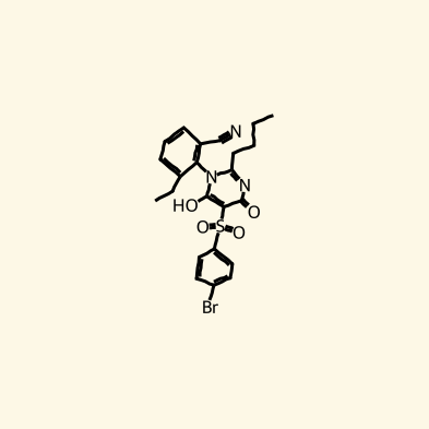 CCCCc1nc(=O)c(S(=O)(=O)c2ccc(Br)cc2)c(O)n1-c1c(C#N)cccc1CC